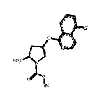 CC(C)(C)OC(=O)N1CC(Oc2nccc3c(Cl)cccc23)CC1C(=O)O